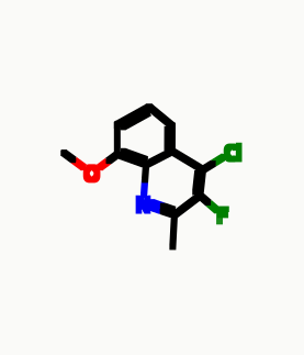 COc1cccc2c(Cl)c(F)c(C)nc12